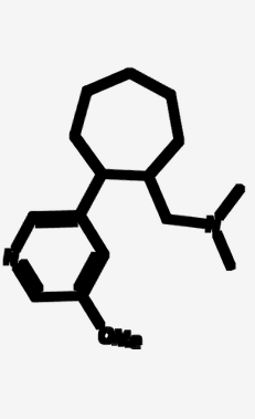 COc1cncc(C2CCCCCC2CN(C)C)c1